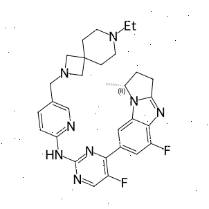 CCN1CCC2(CC1)CN(Cc1ccc(Nc3ncc(F)c(-c4cc(F)c5nc6n(c5c4)[C@H](C)CC6)n3)nc1)C2